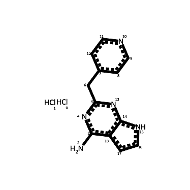 Cl.Cl.Nc1nc(Cc2ccncc2)nc2[nH]ccc12